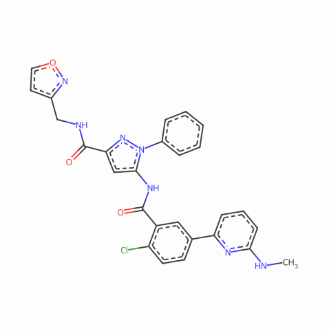 CNc1cccc(-c2ccc(Cl)c(C(=O)Nc3cc(C(=O)NCc4ccon4)nn3-c3ccccc3)c2)n1